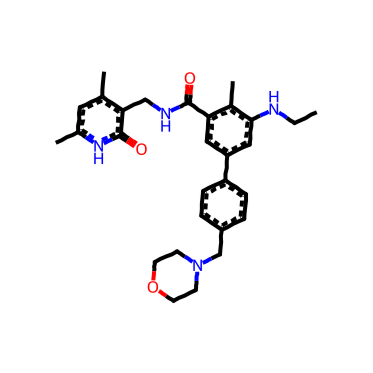 CCNc1cc(-c2ccc(CN3CCOCC3)cc2)cc(C(=O)NCc2c(C)cc(C)[nH]c2=O)c1C